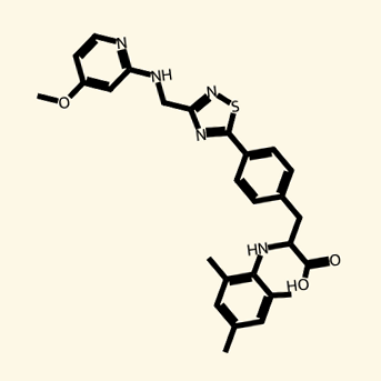 COc1ccnc(NCc2nsc(-c3ccc(CC(Nc4c(C)cc(C)cc4C)C(=O)O)cc3)n2)c1